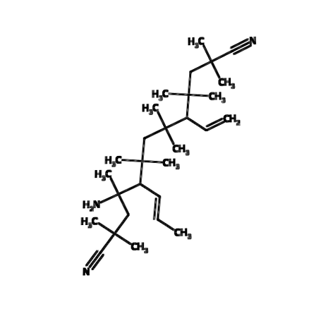 C=CC(C(C)(C)CC(C)(C)C#N)C(C)(C)CC(C)(C)C(C=CC)C(C)(N)CC(C)(C)C#N